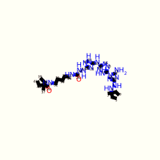 CCC(C)(CC)NNc1nc(N)n(C(=N)/N=N\C(=N)Nc2nc(NNC(=O)NCCCCCNC(=O)C(C)(CC)CC)n[nH]2)n1